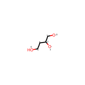 [O]CC([O])CCO